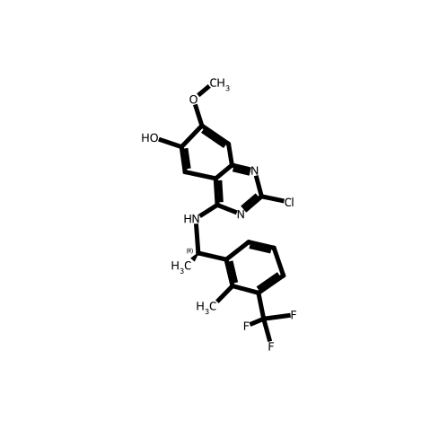 COc1cc2nc(Cl)nc(N[C@H](C)c3cccc(C(F)(F)F)c3C)c2cc1O